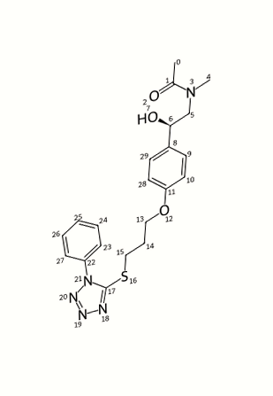 CC(=O)N(C)C[C@H](O)c1ccc(OCCCSc2nnnn2-c2ccccc2)cc1